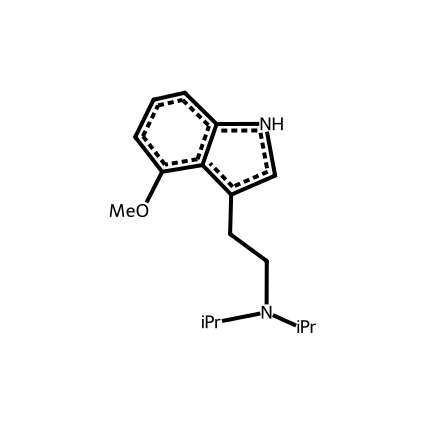 COc1cccc2[nH]cc(CCN(C(C)C)C(C)C)c12